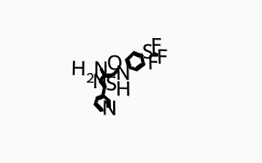 Nc1nc(-c2cccnc2)sc1C(=O)Nc1ccc(SC(F)(F)F)cc1